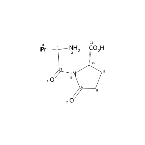 CC(C)[C@H](N)C(=O)N1C(=O)CC[C@H]1C(=O)O